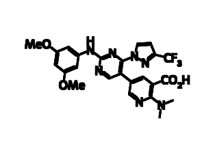 COc1cc(Nc2ncc(-c3cnc(N(C)C)c(C(=O)O)c3)c(-n3ccc(C(F)(F)F)n3)n2)cc(OC)c1